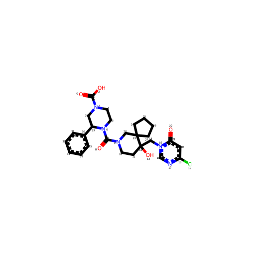 O=C(O)N1CCN(C(=O)N2CCC(O)(Cn3cnc(Cl)cc3=O)C3(CCCC3)C2)C(c2ccccc2)C1